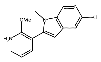 C/C=C\C(=C(/N)OC)c1cc2cc(Cl)ncc2n1C